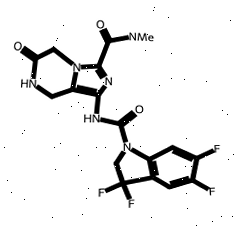 CNC(=O)c1nc(NC(=O)N2CC(F)(F)c3cc(F)c(F)cc32)c2n1CC(=O)NC2